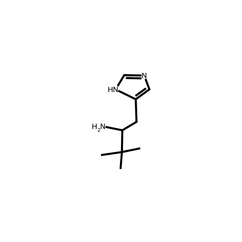 CC(C)(C)C(N)Cc1cnc[nH]1